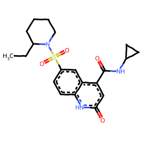 CCC1CCCCN1S(=O)(=O)c1ccc2[nH]c(=O)cc(C(=O)NC3CC3)c2c1